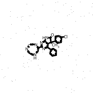 CC1(c2ccc(Cl)cc2)C(=O)Nc2nc(-c3c[nH]ccnccn3)nc(-c3ccccc3)c21